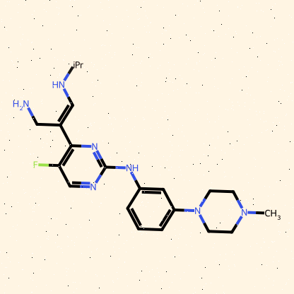 CC(C)N/C=C(\CN)c1nc(Nc2cccc(N3CCN(C)CC3)c2)ncc1F